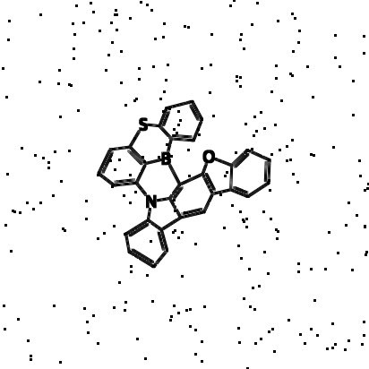 c1ccc2c(c1)Sc1cccc3c1B2c1c2oc4ccccc4c2cc2c4ccccc4n-3c12